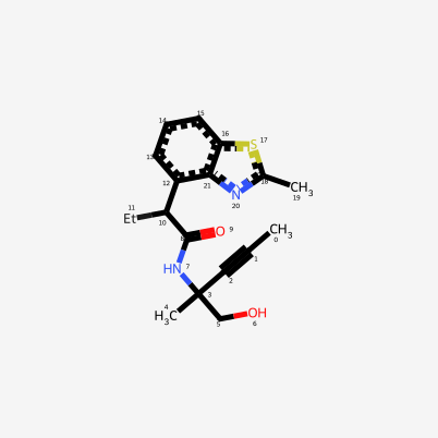 CC#CC(C)(CO)NC(=O)C(CC)c1cccc2sc(C)nc12